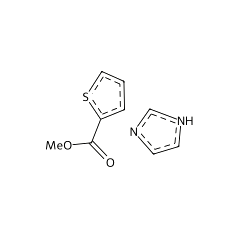 COC(=O)c1cccs1.c1c[nH]cn1